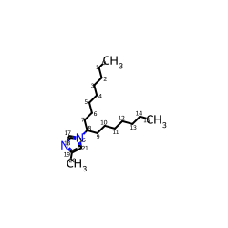 CCCCCCCCC(CCCCCCC)n1cnc(C)c1